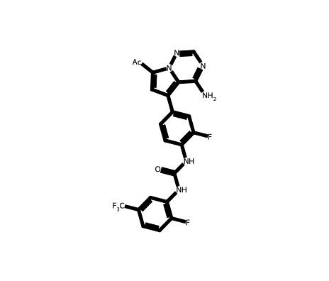 [CH2]C(=O)c1cc(-c2ccc(NC(=O)Nc3cc(C(F)(F)F)ccc3F)c(F)c2)c2c(N)ncnn12